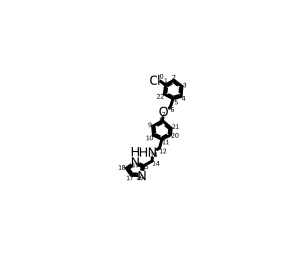 Clc1cccc(COc2ccc(CNCc3ncc[nH]3)cc2)c1